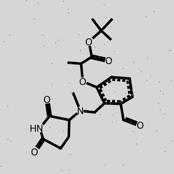 CC(Oc1cccc(C=O)c1CN(C)C1CCC(=O)NC1=O)C(=O)OC(C)(C)C